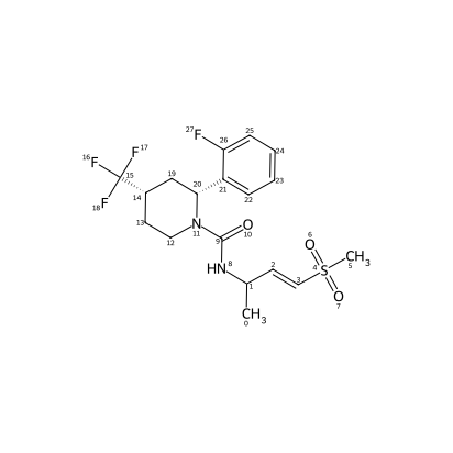 CC(/C=C/S(C)(=O)=O)NC(=O)N1CC[C@H](C(F)(F)F)C[C@@H]1c1ccccc1F